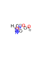 CC1CCC(Oc2cccc(C(=O)C3CCC3)c2)CN1C(=O)c1ccccc1-n1nccn1